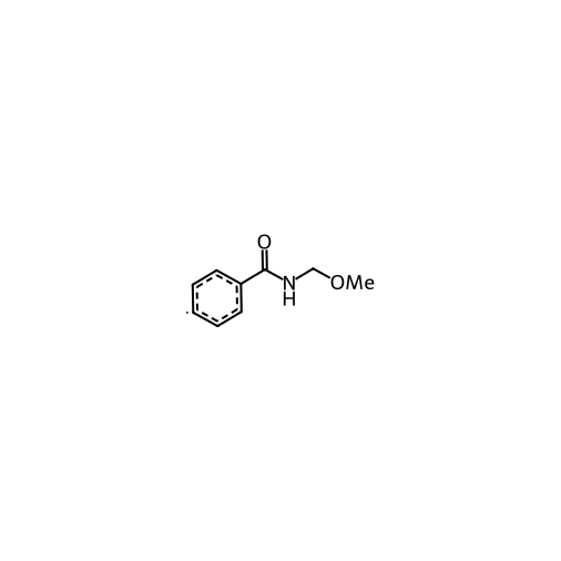 COCNC(=O)c1cc[c]cc1